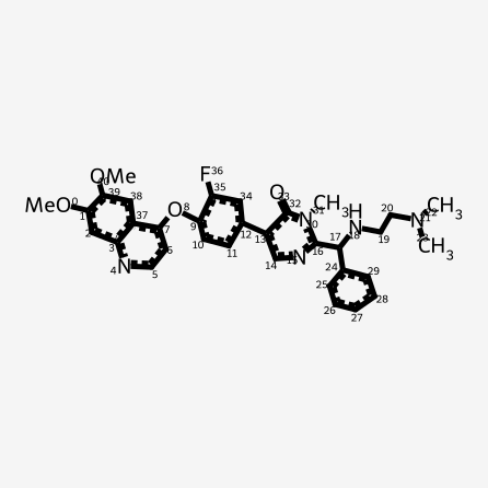 COc1cc2nccc(Oc3ccc(-c4cnc(C(NCCN(C)C)c5ccccc5)n(C)c4=O)cc3F)c2cc1OC